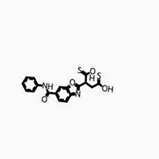 O=C(Nc1ccccc1)c1ccc2nc(C(CC(O)=S)C(O)=S)oc2c1